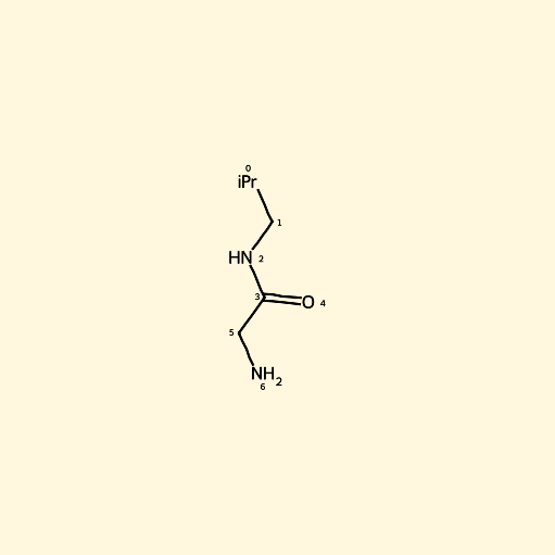 CC(C)CNC(=O)CN